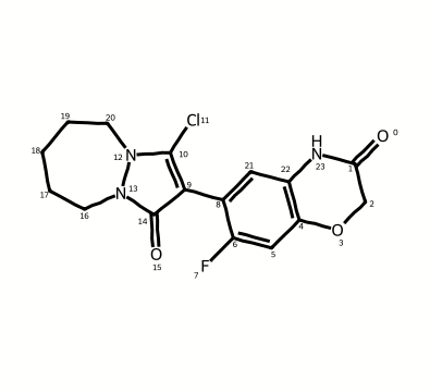 O=C1COc2cc(F)c(-c3c(Cl)n4n(c3=O)CCCCC4)cc2N1